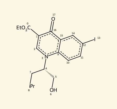 CCOC(=O)c1cn([C@H](CO)CC(C)C)c2ccc(I)cc2c1=O